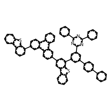 c1ccc(-c2ccc(-c3cc(-c4nc(-c5ccccc5)nc(-c5ccccc5)n4)cc(-c4cc(-c5ccc6c(c5)c5ccccc5c5ccc(-c7cccc8c7sc7ccccc78)cc56)cc5c4sc4ccccc45)c3)cc2)cc1